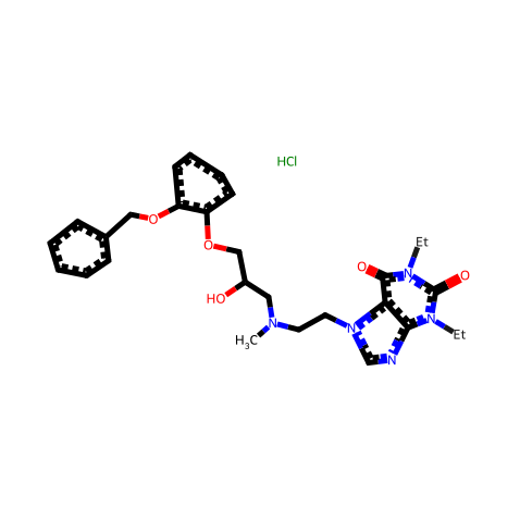 CCn1c(=O)c2c(ncn2CCN(C)CC(O)COc2ccccc2OCc2ccccc2)n(CC)c1=O.Cl